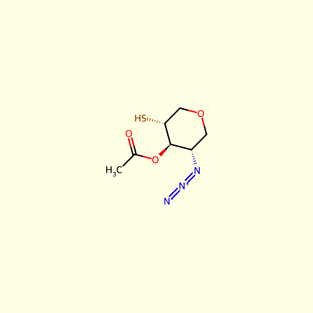 CC(=O)O[C@H]1[C@H](S)COC[C@@H]1N=[N+]=[N-]